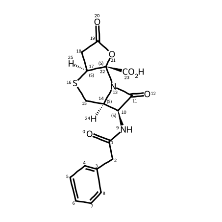 O=C(Cc1ccccc1)N[C@@H]1C(=O)N2[C@@H]1CS[C@H]1CC(=O)O[C@@]12C(=O)O